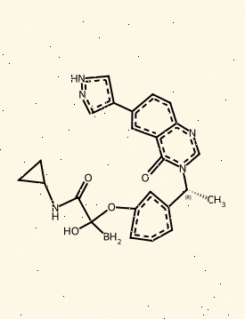 BC(O)(Oc1cccc([C@@H](C)n2cnc3ccc(-c4cn[nH]c4)cc3c2=O)c1)C(=O)NC1CC1